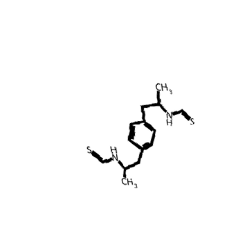 CC(Cc1ccc(CC(C)NC=S)cc1)NC=S